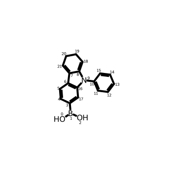 OB(O)c1ccc2c3c(n(-c4ccccc4)c2c1)=CCCC=3